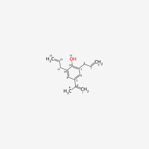 C=CCc1cc(C(=C)C)cc(CC=C)c1O